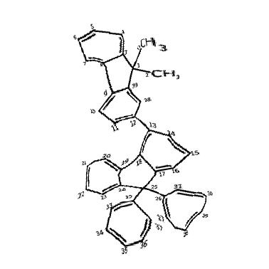 CC1(C)c2ccccc2-c2ccc(-c3cccc4c3-c3ccccc3C4(c3ccccc3)c3ccccc3)cc21